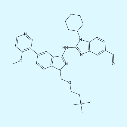 COc1ccncc1-c1ccc2c(c1)c(Nc1nc3cc(C=O)ccc3n1C1CCCCC1)nn2COCC[Si](C)(C)C